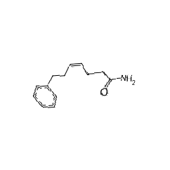 NC(=O)CC/C=C\CCc1ccccc1